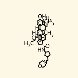 C=C(C)[C@@H]1C[C@@H](C(=O)NC2CCC(CN3CCOCC3)C2)C2CC[C@]3(C)[C@H](CC[C@@H]4[C@@]5(C)CC[C@H](O)C(C)(C)[C@@H]5CC[C@]43C)[C@H]21